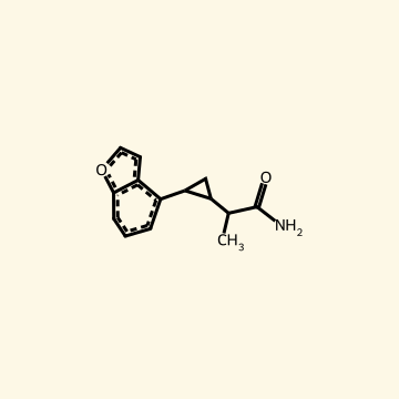 CC(C(N)=O)C1CC1c1cccc2occc12